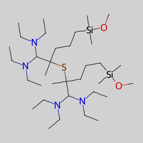 CCN(CC)C(N(CC)CC)C(C)(CCC[Si](C)(C)OC)SC(C)(CCC[Si](C)(C)OC)C(N(CC)CC)N(CC)CC